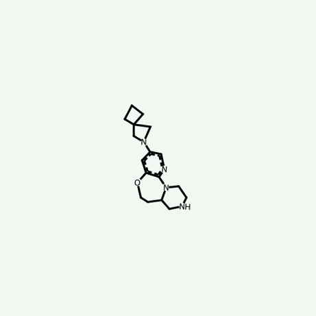 c1nc2c(cc1N1CC3(CCC3)C1)OCCC1CNCCN21